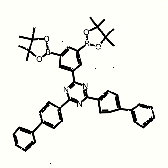 CC1(C)OB(c2cc(B3OC(C)(C)C(C)(C)O3)cc(-c3nc(-c4ccc(-c5ccccc5)cc4)nc(-c4ccc(-c5ccccc5)cc4)n3)c2)OC1(C)C